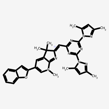 Cc1cc(C)n(-c2nc(/C=C3\N=C4C(=CC(c5cc6ccccc6o5)=CN4C)C3(C)C)nc(-n3nc(C)cc3C)n2)n1